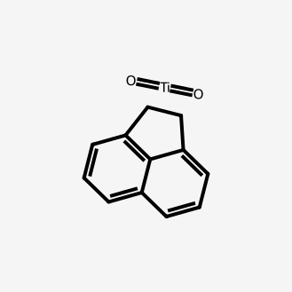 [O]=[Ti]=[O].c1cc2c3c(cccc3c1)CC2